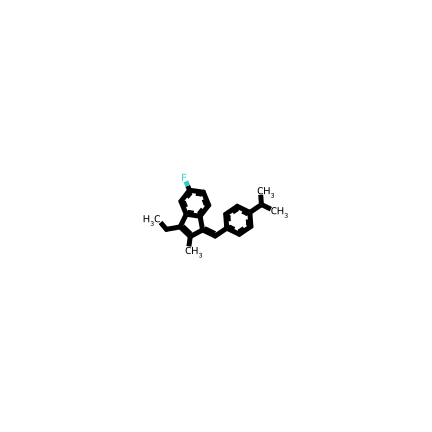 CCC1=C(C)/C(=C/c2ccc(C(C)C)cc2)c2ccc(F)cc21